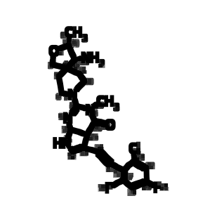 C[C@@H]1OCC2(CCN(C3=NC4NC=C(C#Cc5c(F)cc(F)cc5Cl)C4C(=O)N3C)CC2)[C@@H]1N